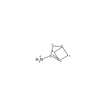 NC1=C2CC(C1)C2